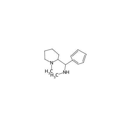 CNC(c1ccccc1)C1CCCCN1C